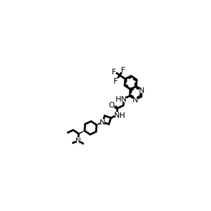 CCC([C@H]1CC[C@@H](N2CC(NC(=O)CNc3ncnc4ccc(C(F)(F)F)cc34)C2)CC1)N(C)C